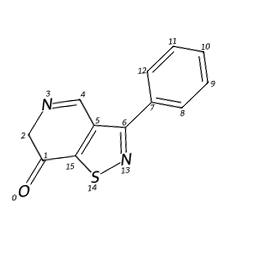 O=C1CN=Cc2c(-c3ccccc3)nsc21